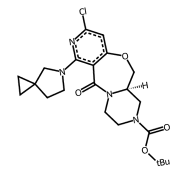 CC(C)(C)OC(=O)N1CCN2C(=O)c3c(cc(Cl)nc3N3CCC4(CC4)C3)OC[C@H]2C1